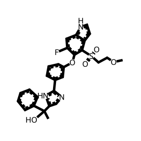 COCCS(=O)(=O)c1c(Oc2cccc(-c3ncc(C(C)(O)c4ccccc4)[nH]3)c2)c(F)cc2[nH]ccc12